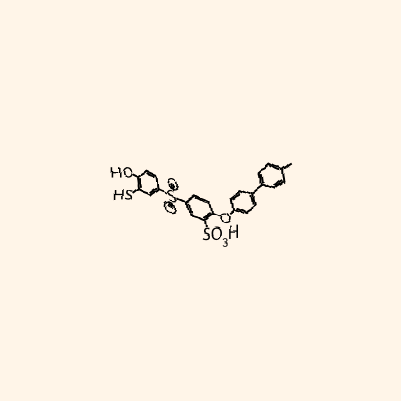 Cc1ccc(-c2ccc(Oc3ccc(S(=O)(=O)c4ccc(O)c(S)c4)cc3S(=O)(=O)O)cc2)cc1